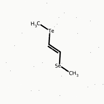 C[Se]C=C[Te]C